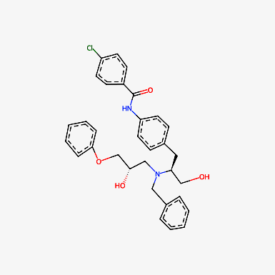 O=C(Nc1ccc(C[C@@H](CO)N(Cc2ccccc2)C[C@H](O)COc2ccccc2)cc1)c1ccc(Cl)cc1